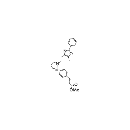 COC(=O)C=Cc1ccc([C@@H]2CCCN2CCc2nc(-c3ccccc3)oc2C)cc1